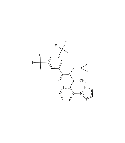 CC(c1nccnc1-n1nccn1)N(CC1CC1)C(=O)c1cc(C(F)(F)F)cc(C(F)(F)F)c1